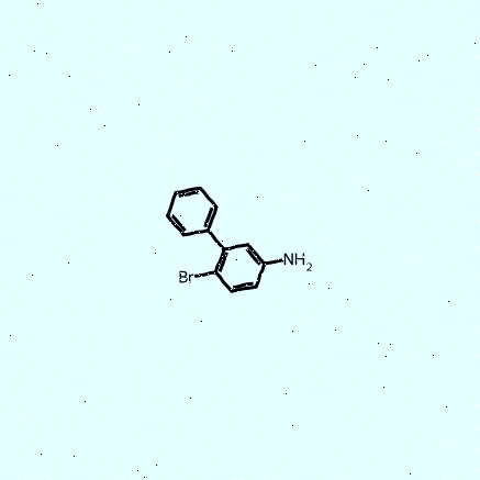 Nc1ccc(Br)c(-c2ccccc2)c1